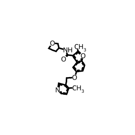 Cc1ccncc1COc1ccc2oc(C)c(C(=O)NC3CCOC3)c2c1